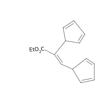 CCOC(=O)C(=CC1C=CC=C1)C1C=CC=C1